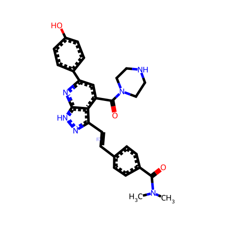 CN(C)C(=O)c1ccc(/C=C/c2n[nH]c3nc(-c4ccc(O)cc4)cc(C(=O)N4CCNCC4)c23)cc1